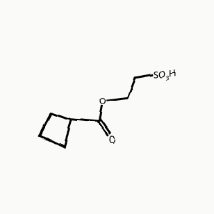 O=C(OCCS(=O)(=O)O)C1CCC1